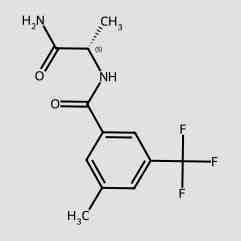 Cc1cc(C(=O)N[C@@H](C)C(N)=O)cc(C(F)(F)F)c1